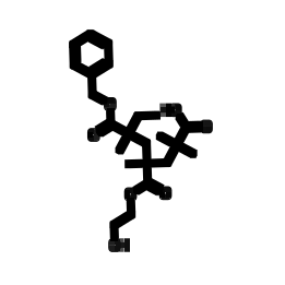 CCC(C)(CC(C)(CC(C)(C)C(=O)O)C(=O)OCCO)C(=O)OCc1ccccc1